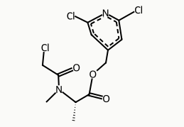 C[C@@H](C(=O)OCc1cc(Cl)nc(Cl)c1)N(C)C(=O)CCl